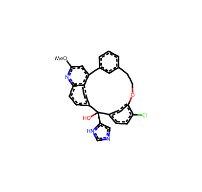 COc1cc2c3cc(ccc3n1)C(O)(c1cnc[nH]1)c1ccc(Cl)c(c1)OCCc1cccc-2c1